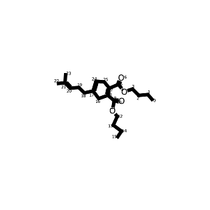 CCCCOC(=O)C1=C(C(=O)OCCCC)CC(CCC=C(C)C)=CC1